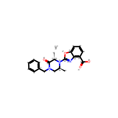 C[C@H]1CN(Cc2ccccc2)C(=O)[C@H](C)N1c1nc2c(C(=O)[O-])cccc2o1.[Li+]